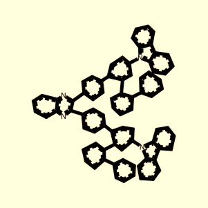 c1ccc(-c2ccccc2-c2cc(-n3c4ccccc4c4ccccc43)ccc2-c2ccc(-c3nc4ccccc4nc3-c3ccc(-c4ccc(-n5c6ccccc6c6ccccc65)cc4-c4ccccc4-c4ccccc4)cc3)cc2)cc1